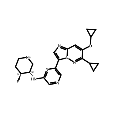 F[C@H]1CCNC[C@@H]1Nc1cncc(-c2cnc3cc(OC4CC4)c(C4CC4)nn23)n1